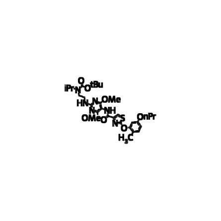 CCCOc1ccc(C)c(Oc2nc(C(=O)Nc3c(OC)nc(NCCN(C(=O)OC(C)(C)C)C(C)C)nc3OC)cs2)c1